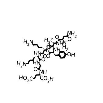 C[C@H](NC(=O)[C@@H](N)CC(N)=O)C(=O)N[C@@H](Cc1ccc(O)cc1)C(=O)N[C@@H](CCCCN)C(=O)N[C@@H](CCCCN)C(=O)NCC(=O)N[C@@H](CCC(=O)O)C(=O)O